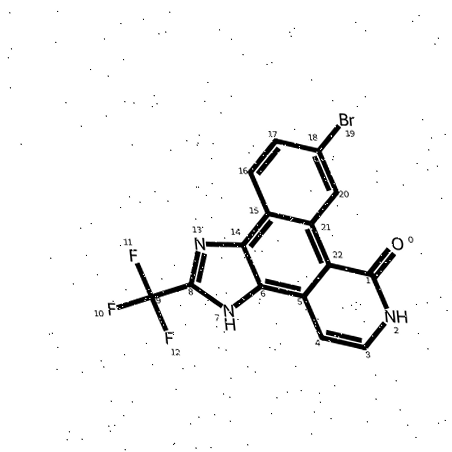 O=c1[nH]ccc2c3[nH]c(C(F)(F)F)nc3c3ccc(Br)cc3c12